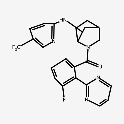 O=C(c1cccc(F)c1-c1ncccn1)N1CC2CCC1C(Nc1ccc(C(F)(F)F)cn1)C2